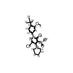 COc1cc(-n2nc(Cl)c(N3CCCCC3)c([N+](=O)[O-])c2=O)ccc1C(C)(C)C